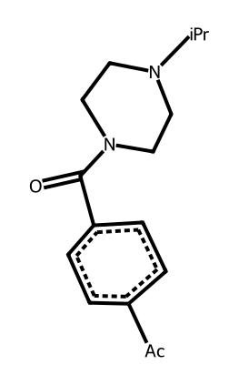 CC(=O)c1ccc(C(=O)N2CCN(C(C)C)CC2)cc1